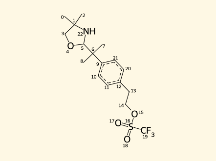 CC1(C)COC(C(C)(C)c2ccc(CCOS(=O)(=O)C(F)(F)F)cc2)N1